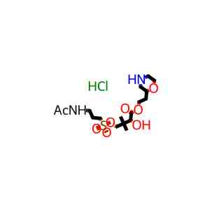 CC(=O)NCCCS(=O)(=O)OCC(C)(C)C(O)C(=O)OCCC1CNCCO1.Cl